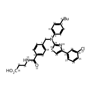 CCC(C)c1ccc(N(Cc2ccc(C(=O)NCCC(=O)O)cc2)c2nc(-c3cccc(Cl)c3)cs2)cc1